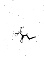 CCCC(=O)N(O)F